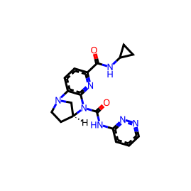 O=C(NC1CC1)c1ccc2c(n1)N(C(=O)Nc1cccnn1)[C@H]1CCN2C1